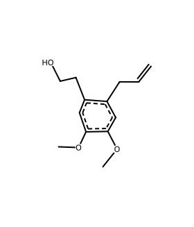 C=CCc1cc(OC)c(OC)cc1CCO